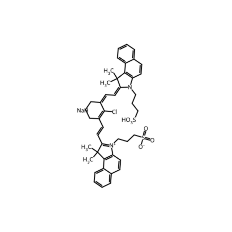 CC1(C)C(=CC=C2CCCC(C=CC3=[N+](CCCS(=O)(=O)[O-])c4ccc5ccccc5c4C3(C)C)=C2Cl)N(CCCS(=O)(=O)O)c2ccc3ccccc3c21.[NaH]